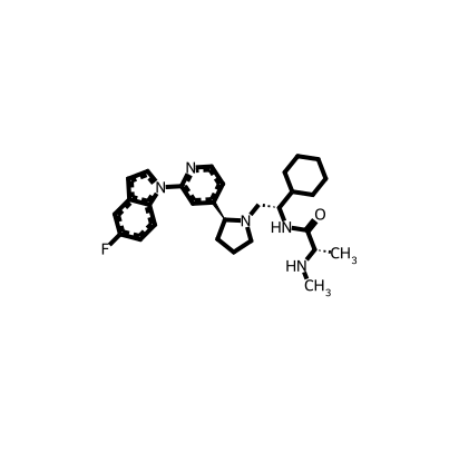 CN[C@@H](C)C(=O)N[C@H](CN1CCC[C@H]1c1ccnc(-n2ccc3cc(F)ccc32)c1)C1CCCCC1